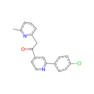 Cc1cccc(CC(=O)c2ccnc(-c3ccc(Cl)cc3)c2)n1